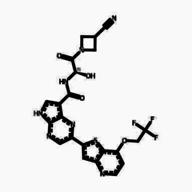 N#CC1CN(C(=O)[C@@H](O)NC(=O)c2c[nH]c3ncc(-c4cc5nccc(OCC(F)(F)F)c5s4)nc23)C1